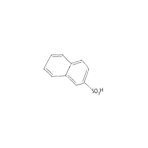 O=S(=O)(O)c1ccc2ccc[c]c2c1